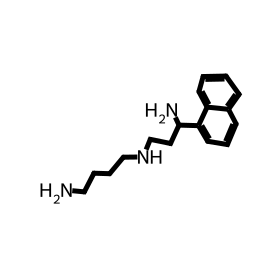 NCCCCNCCC(N)c1cccc2ccccc12